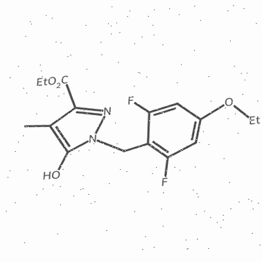 CCOC(=O)c1nn(Cc2c(F)cc(OCC)cc2F)c(O)c1C